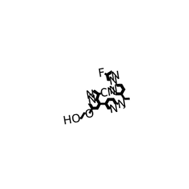 CC(c1ccc(-n2cc(F)cn2)nc1)N(C)c1ccc(-c2cc(OCCO)cn3ncc(C#N)c23)cn1